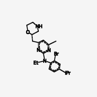 CCN(c1nc(C)cc(CC2CNCCO2)n1)c1ccc(C(C)C)cc1Br